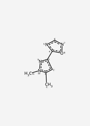 Cc1cc(-c2ncno2)nn1C